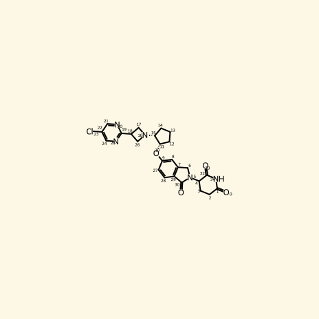 O=C1CCC(N2Cc3cc(O[C@H]4CCC[C@H]4N4CC(c5ncc(Cl)cn5)C4)ccc3C2=O)C(=O)N1